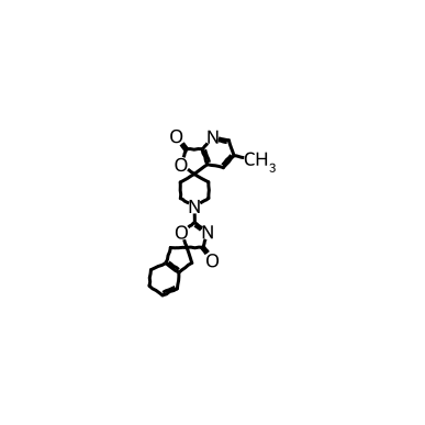 Cc1cnc2c(c1)C1(CCN(C3=NC(=O)C4(CC5=C(CCC=C5)C4)O3)CC1)OC2=O